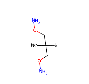 CCC(C#N)(CON)CON